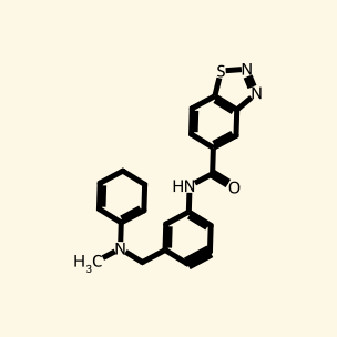 CN(Cc1c#ccc(NC(=O)c2ccc3snnc3c2)c1)C1=CCCC=C1